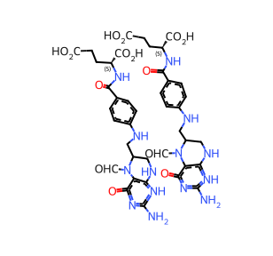 Nc1nc(=O)c2c([nH]1)NCC(CNc1ccc(C(=O)N[C@@H](CCC(=O)O)C(=O)O)cc1)N2C=O.Nc1nc(=O)c2c([nH]1)NCC(CNc1ccc(C(=O)N[C@@H](CCC(=O)O)C(=O)O)cc1)N2C=O